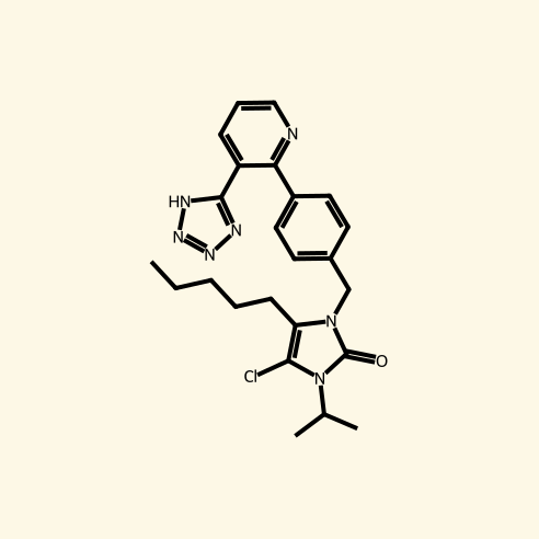 CCCCCc1c(Cl)n(C(C)C)c(=O)n1Cc1ccc(-c2ncccc2-c2nnn[nH]2)cc1